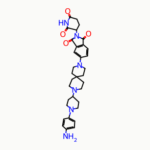 Nc1ccc(N2CCC(N3CCC4(CCN(c5ccc6c(c5)C(=O)N(C5CCC(=O)NC5=O)C6=O)CC4)CC3)CC2)cc1